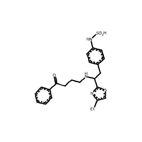 CCc1csc(C(Cc2ccc(NS(=O)(=O)O)cc2)NCCCC(=O)c2ccccc2)n1